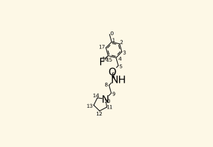 Cc1ccc(CONCCN2CCCC2)c(F)c1